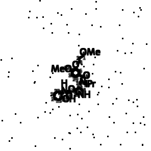 COCCCOc1cc(C(=O)N(C[C@@H]2CNC[C@H]2OC(=O)N[C@@H]2CCCC[C@H]2O)C(C)C)ccc1OC